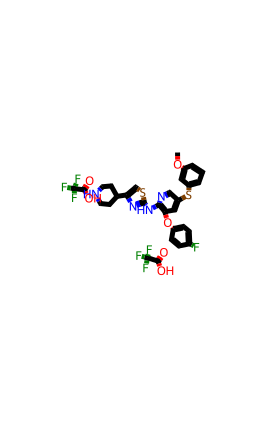 COc1cccc(Sc2cnc(Nc3nc(C4CCNCC4)cs3)c(Oc3ccc(F)cc3)c2)c1.O=C(O)C(F)(F)F.O=C(O)C(F)(F)F